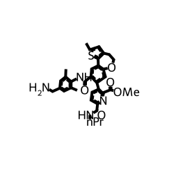 CCCNC(=O)c1ccc(-c2cc3c(cc2C(=O)Nc2c(C)cc(CN)cc2C)-c2sc(C)cc2CCO3)c(C(=O)OC)n1